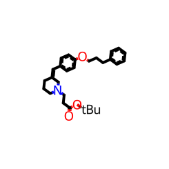 CC(C)(C)OC(=O)CCN1CCCC(=Cc2ccc(OCCCc3ccccc3)cc2)C1